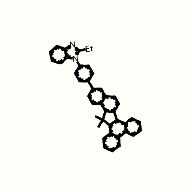 CCc1nc2ccccc2n1-c1ccc(-c2ccc3c4c(ccc3c2)-c2c(c3ccccc3c3ccccc23)C4(C)C)cc1